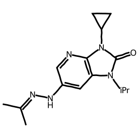 CC(C)=NNc1cnc2c(c1)n(C(C)C)c(=O)n2C1CC1